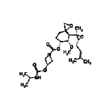 CO[C@@H]1[C@H](OC(=O)N2CC(OC(=O)NC(C)C)C2)CC[C@]2(CO2)[C@H]1[C@@]1(C)O[C@@H]1CC=C(C)C